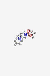 CC1CCN(C2(C)CCN(C(=O)OC(C)(C)C)CC2)CC1